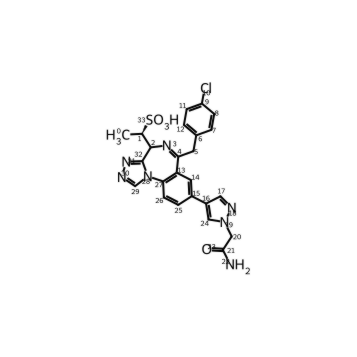 C[C@H](C1N=C(Cc2ccc(Cl)cc2)c2cc(-c3cnn(CC(N)=O)c3)ccc2-n2cnnc21)S(=O)(=O)O